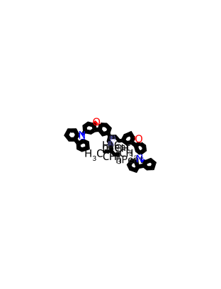 C=C(/C=C(\C=C\C(CC(C)(C)CCCCC)C(C)(C)CCCCC)c1ccc2oc3ccc(-n4c5ccccc5c5ccccc54)cc3c2c1)c1ccc2oc3ccc(-n4c5ccccc5c5ccccc54)cc3c2c1